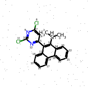 C[SiH](C)c1c(-c2cc(Cl)nc(Cl)n2)c2ccccc2c2ccccc12